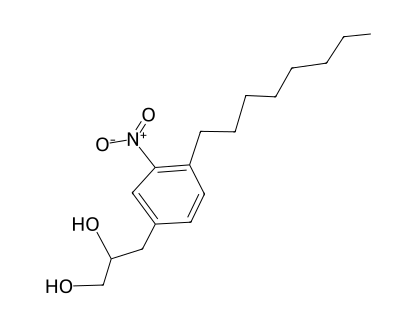 CCCCCCCCc1ccc(CC(O)CO)cc1[N+](=O)[O-]